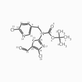 CC(C)(C)OC(=O)N(Cc1ccc(Cl)nc1)c1nc(Cl)c(C=O)s1